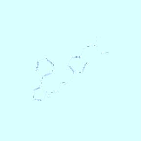 CCOC(Cc1ccc(OCCn2cc(C)cc2-c2ccccc2)cc1)C(=O)O